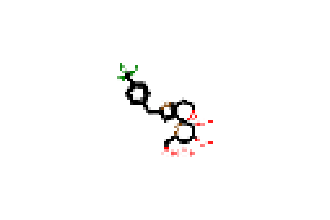 OCC1S[C@]2(OCCc3sc(Cc4ccc(C(F)(F)F)cc4)cc32)[C@H](O)C(O)[C@@H]1O